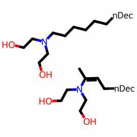 CCCCCCCCCCCC=C(C)N(CCO)CCO.CCCCCCCCCCCCCCCCN(CCO)CCO